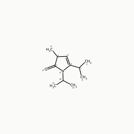 CC(C)C1=CC(C)C(=O)N1C(C)C